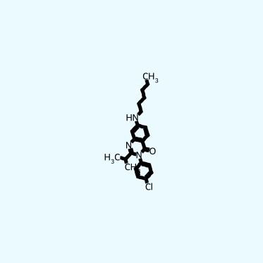 CCCCCCNc1ccc2c(=O)n(-c3ccc(Cl)cc3)c(C(C)C)nc2c1